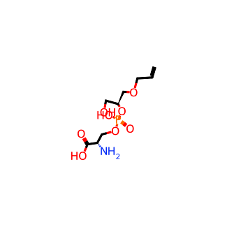 C=CCOC[C@H](CO)OP(=O)(O)OC[C@H](N)C(=O)O